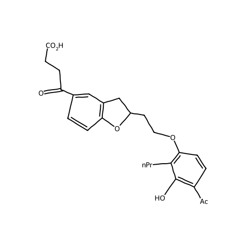 CCCc1c(OCCC2Cc3cc(C(=O)CCC(=O)O)ccc3O2)ccc(C(C)=O)c1O